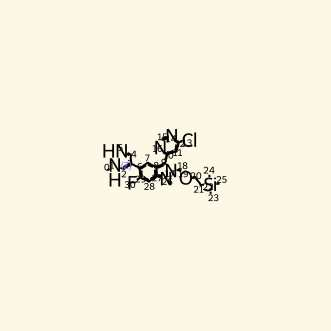 CN/C=C(\C=N)c1cc2c(-c3cc(Cl)ncn3)n(COCC[Si](C)(C)C)nc2cc1F